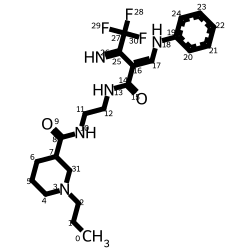 CCCN1CCCC(C(=O)NCCNC(=O)/C(=C/Nc2ccccc2)C(=N)C(F)(F)F)C1